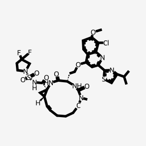 COc1ccc2c(OCC[C@@H]3NC(=O)N(C)CCCCC=C[C@@H]4C[C@@]4(C(=O)NS(=O)(=O)N4CCC(F)(F)C4)NC3=O)cc(-c3nc(C(C)C)cs3)nc2c1Cl